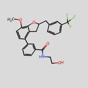 COc1ccc(-c2cccc(C(=O)NCCO)c2)c2c1OC(Cc1cccc(C(F)(F)F)c1)C2